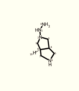 NNN1CC2CNC[C@H]2C1